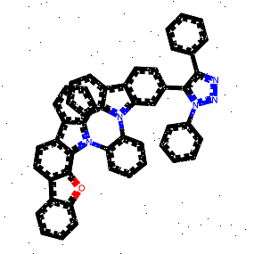 c1ccc(-c2nnn(-c3ccccc3)c2-c2ccc3c4ccccc4n(-c4ccccc4-n4c5ccccc5c5ccc6c7ccccc7oc6c54)c3c2)cc1